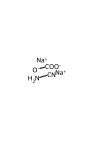 N#CN.O=C([O-])[O-].[Na+].[Na+]